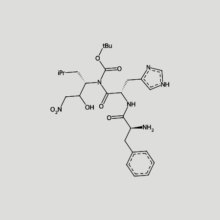 CC(C)C[C@@H](C(O)C[N+](=O)[O-])N(C(=O)OC(C)(C)C)C(=O)[C@H](Cc1c[nH]cn1)NC(=O)[C@@H](N)Cc1ccccc1